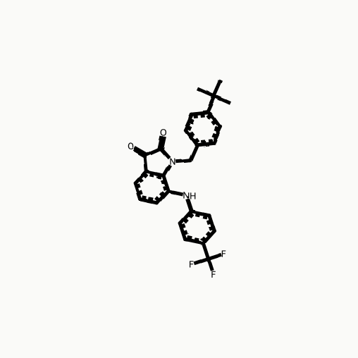 CC(C)(C)c1ccc(CN2C(=O)C(=O)c3cccc(Nc4ccc(C(F)(F)F)cc4)c32)cc1